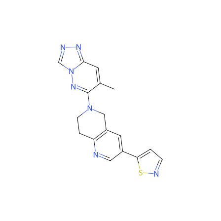 Cc1cc2nncn2nc1N1CCc2ncc(-c3ccns3)cc2C1